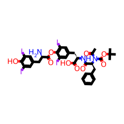 CC(=O)N(C(=O)OC(C)(C)C)[C@@H](Cc1ccccc1)C(=O)N[C@@H](Cc1cc(I)c(OC(=O)[C@@H](N)Cc2cc(I)c(O)c(I)c2)c(I)c1)C(=O)O